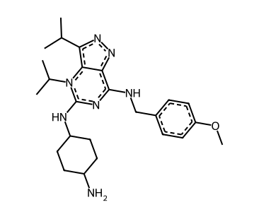 COc1ccc(CNc2nc(NC3CCC(N)CC3)n(C(C)C)c3c(C(C)C)nnc2-3)cc1